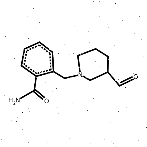 NC(=O)c1ccccc1CN1CCCC(C=O)C1